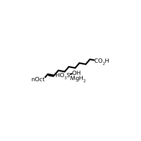 CCCCCCCCC=CCCCCCCCC(=O)O.O=S(=O)(O)O.[MgH2]